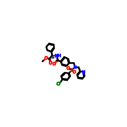 COC(=O)[C@@H](NC(=O)c1ccc(CN(Cc2ccccn2)S(=O)(=O)c2ccc(Cl)cc2)cc1)C1=CC=CCC1